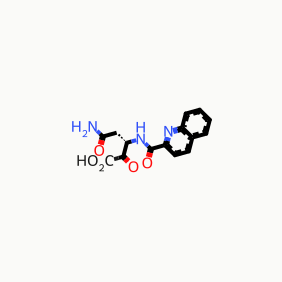 NC(=O)C[C@H](NC(=O)c1ccc2ccccc2n1)C(=O)C(=O)O